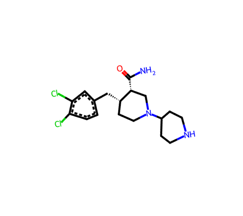 NC(=O)[C@@H]1CN(C2CCNCC2)CC[C@@H]1Cc1ccc(Cl)c(Cl)c1